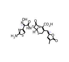 CC1=C/C(=C\C2=C(C(=O)O)N3C(=O)[C@@H](NC(=O)/C(=N\O)c4csc(N)n4)[C@@H]3SC2)OC1=O